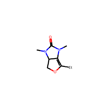 CCC1=C2C(CO1)N(C)C(=O)N2C